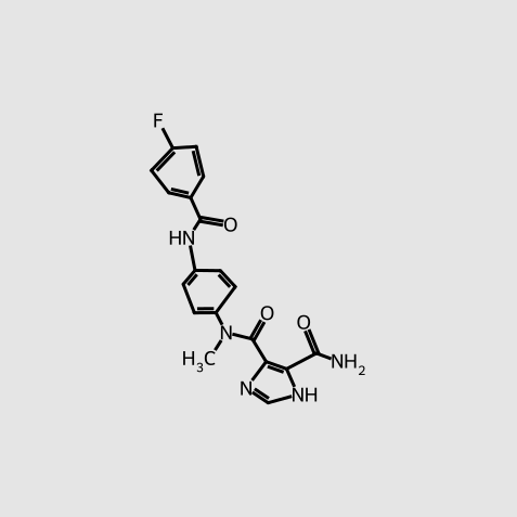 CN(C(=O)c1nc[nH]c1C(N)=O)c1ccc(NC(=O)c2ccc(F)cc2)cc1